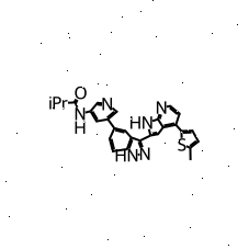 Cc1ccc(-c2ccnc3[nH]c(-c4n[nH]c5ccc(-c6cncc(NC(=O)C(C)C)c6)cc45)cc23)s1